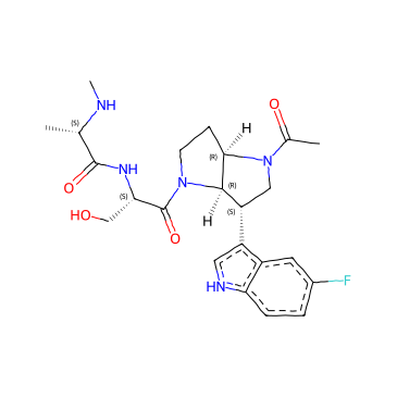 CN[C@@H](C)C(=O)N[C@@H](CO)C(=O)N1CC[C@@H]2[C@H]1[C@@H](c1c[nH]c3ccc(F)cc13)CN2C(C)=O